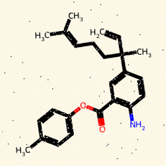 C=CC(C)(CCC=C(C)C)c1ccc(N)c(C(=O)Oc2ccc(C)cc2)c1